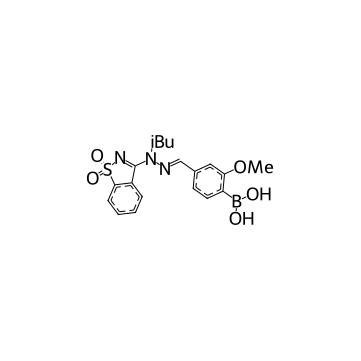 CCC(C)N(/N=C/c1ccc(B(O)O)c(OC)c1)C1=NS(=O)(=O)c2ccccc21